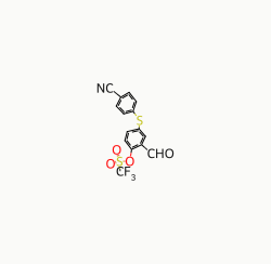 N#Cc1ccc(Sc2ccc(OS(=O)(=O)C(F)(F)F)c(C=O)c2)cc1